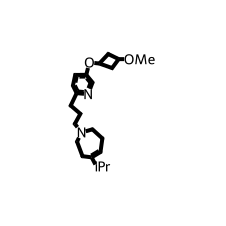 COC1CC(Oc2ccc(CCCN3CCC=C(C(C)C)CC3)nc2)C1